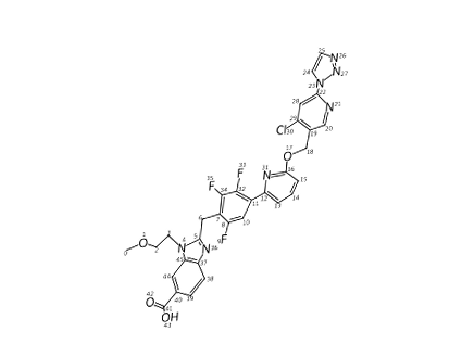 COCCn1c(Cc2c(F)cc(-c3cccc(OCc4cnc(-n5ccnn5)cc4Cl)n3)c(F)c2F)nc2ccc(C(=O)O)cc21